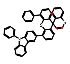 c1ccc(-c2cccc3c2Sc2c(-c4ccc5c(c4)c4ccccc4n5-c4ccccc4)cccc2C32c3ccccc3Sc3ccccc32)cc1